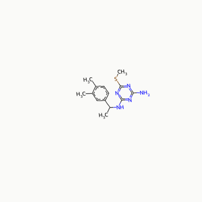 CSc1nc(N)nc(NC(C)c2ccc(C)c(C)c2)n1